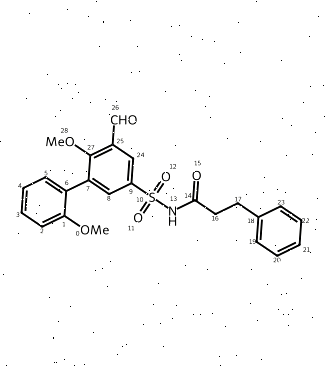 COc1ccccc1-c1cc(S(=O)(=O)NC(=O)CCc2ccccc2)cc(C=O)c1OC